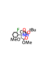 COC(=O)[C@H](OC)[C@](C)(NC(=O)OC(C)(C)C)c1ccccc1F